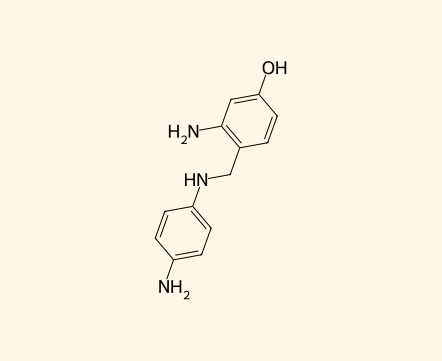 Nc1ccc(NCc2ccc(O)cc2N)cc1